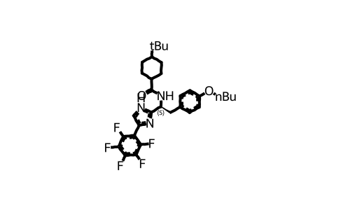 CCCCOc1ccc(C[C@H](NC(=O)C2CCC(C(C)(C)C)CC2)c2nc(-c3c(F)c(F)c(F)c(F)c3F)c[nH]2)cc1